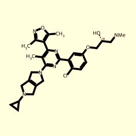 CNC[C@@H](O)COc1ccc(Cl)c(-c2nc(-c3c(C)noc3C)c(C)c(N3CC4=C(C3)CN(C3CC3)C4)n2)c1